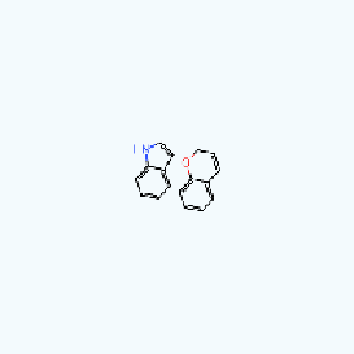 C1=Cc2ccccc2OC1.c1ccc2[nH]ccc2c1